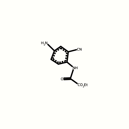 CCOC(=O)C(=O)Nc1ccc(N)cc1C#N